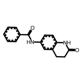 O=C1CCc2cc(NC(=O)c3ccccc3)ccc2N1